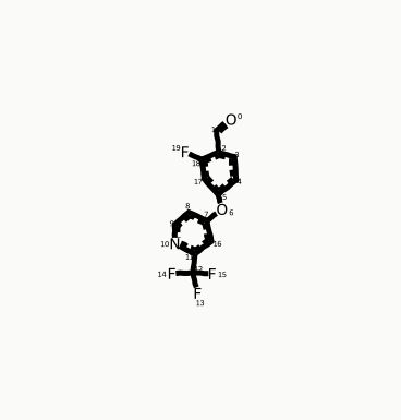 O=Cc1ccc(Oc2ccnc(C(F)(F)F)c2)cc1F